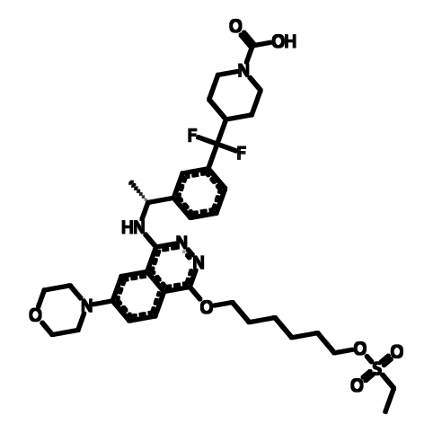 CCS(=O)(=O)OCCCCCCOc1nnc(N[C@H](C)c2cccc(C(F)(F)C3CCN(C(=O)O)CC3)c2)c2cc(N3CCOCC3)ccc12